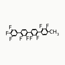 Cc1ccc(-c2ccc(-c3ccc(-c4cc(F)c(F)c(F)c4)c(F)c3F)c(F)c2F)c(F)c1F